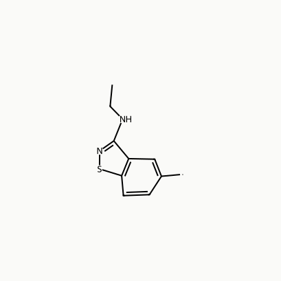 [CH2]c1ccc2snc(NCC)c2c1